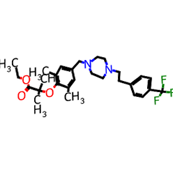 CCOC(=O)C(C)(C)Oc1c(C)cc(CN2CCN(CCc3ccc(C(F)(F)F)cc3)CC2)cc1C